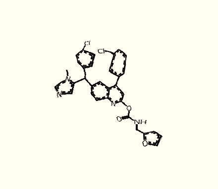 Cn1cncc1C(c1ccc(Cl)cc1)c1ccc2nc(OC(=O)NCc3ccco3)cc(-c3cccc(Cl)c3)c2c1